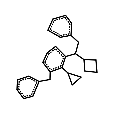 c1ccc(C[C](c2cccc(Cc3ccccc3)c2C2CC2)C2CCC2)cc1